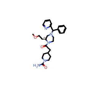 COCC[C@H]1CN(C(c2ccccc2)c2ccccn2)CCN1C(=O)CC1CCN(C(N)=O)CC1